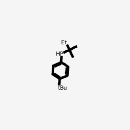 CCC(C)(C)Pc1ccc(C(C)(C)C)cc1